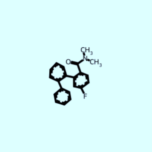 CN(C)C(=O)c1ccc(F)cc1-c1ccccc1-c1ccccc1